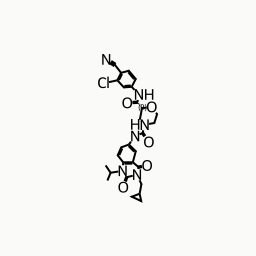 CC(C)n1c(=O)n(CC2CC2)c(=O)c2cc(NC(=O)N3CCO[C@@H](C(=O)Nc4ccc(C#N)c(Cl)c4)C3)ccc21